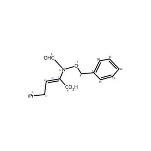 CC(C)C/C=C(\C(=O)O)N(C=O)OCc1ccccc1